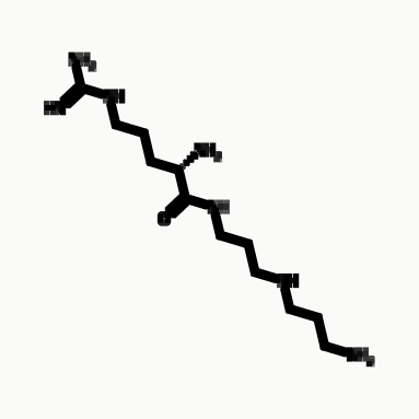 N=C(N)NCCC[C@H](N)C(=O)NCCCNCCCN